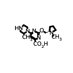 C[C@H]1CNCCN1c1cc(C(=O)O)nc(OC[C@@H]2CCCN2C)n1